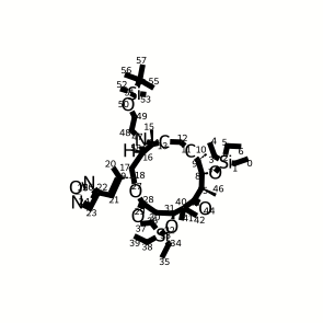 CC[Si](CC)(CC)O[C@H]1[C@@H](C)CCC[C@]2(C)[C@H](C[C@@H](/C(C)=C/c3cnon3)OC(=O)C[C@H](O[Si](CC)(CC)CC)C(C)(C)C(=O)[C@@H]1C)N2CCO[Si](C)(C)C(C)(C)C